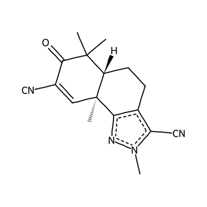 [C-]#[N+]C1=C[C@]2(C)c3nn(C)c(C#N)c3CC[C@H]2C(C)(C)C1=O